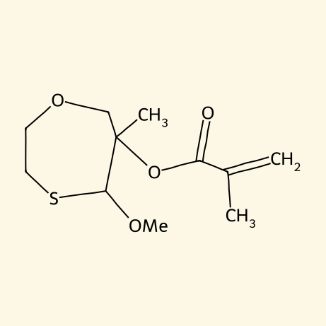 C=C(C)C(=O)OC1(C)COCCSC1OC